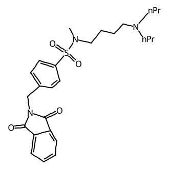 CCCN(CCC)CCCCN(C)S(=O)(=O)c1ccc(CN2C(=O)c3ccccc3C2=O)cc1